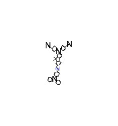 CC1(C)c2cc(/C=C/c3ccc(N(c4ccccc4)c4ccccc4)cc3)ccc2-c2ccc(N(C3=CCC(C#N)C=C3)c3ccc(C#N)cc3)cc21